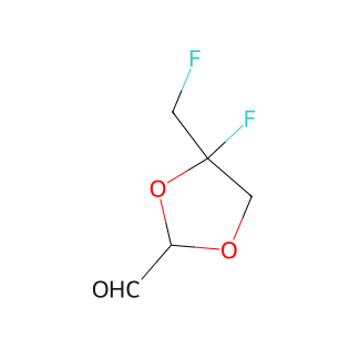 O=CC1OCC(F)(CF)O1